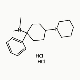 CN(C)C1(c2ccccc2)CCC(N2CCCCC2)CC1.Cl.Cl